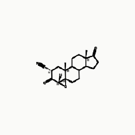 C[C@]12CCC3C(CC[C@@]45O[C@@H]4C(=O)[C@H](C#N)C[C@]35C)C1CCC2=O